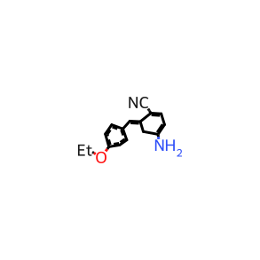 CCOc1ccc(C=C2CC(N)=CC=C2C#N)cc1